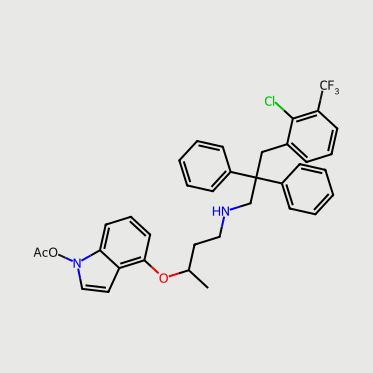 CC(=O)On1ccc2c(OC(C)CCNCC(Cc3cccc(C(F)(F)F)c3Cl)(c3ccccc3)c3ccccc3)cccc21